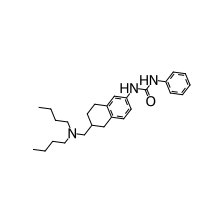 CCCCN(CCCC)CC1CCc2cc(NC(=O)Nc3ccccc3)ccc2C1